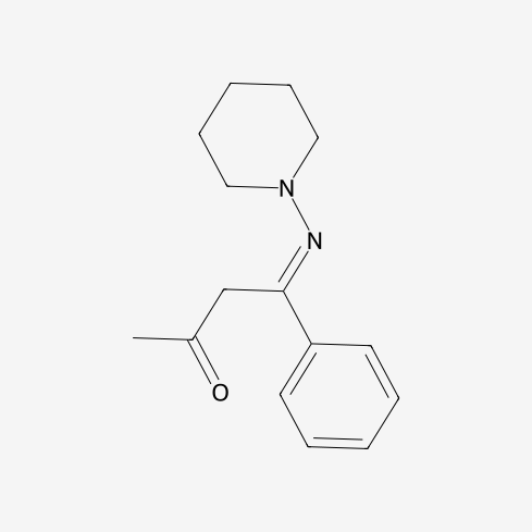 CC(=O)C/C(=N\N1CCCCC1)c1ccccc1